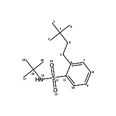 CC(C)(C)CCc1ccccc1S(=O)(=O)NC(C)(C)C